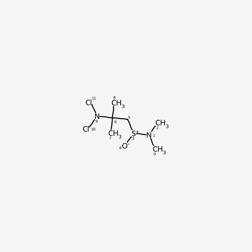 CN(C)[S+]([O-])CC(C)(C)N(Cl)Cl